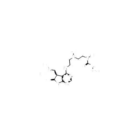 CN(C)/C=C1\C(=O)Nc2ncnc(NCCN(C)CCN(C)C(=O)OC(C)(C)C)c21